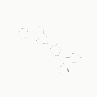 CCc1nc2cc(-c3ccc(-n4c5ccccc5c5ccccc54)cc3)cc3c2n1-c1ccccc1O3